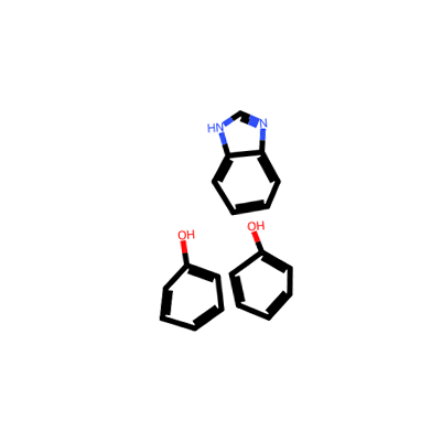 Oc1ccccc1.Oc1ccccc1.c1ccc2[nH]cnc2c1